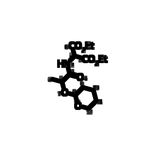 CCOC(=O)C(NC(=O)C(C)OC1CCCCO1)C(=O)OCC